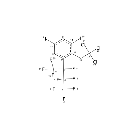 FC(F)(F)C(F)(F)C(F)(c1cc(I)[c]c(I)c1CC(Cl)(Cl)Cl)C(F)(F)F